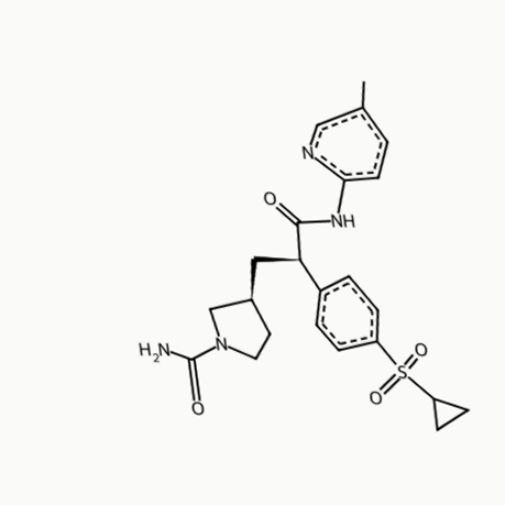 Cc1ccc(NC(=O)[C@H](C[C@H]2CCN(C(N)=O)C2)c2ccc(S(=O)(=O)C3CC3)cc2)nc1